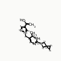 C=C(O)c1cnn(CC2=CN=C(N3CC4(CC4)C3)NC2C)c1